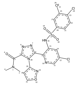 CN(C)C(=O)c1nnc(-c2ncc(Cl)cc2NS(=O)(=O)c2ccc(Cl)c(C(F)(F)F)c2)n1-c1ccon1